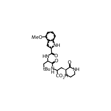 COc1cccc2[nH]c(C(=O)NC(CC(C)(C)C)C(=O)NC(C[C@@H]3CCCNC3=O)C(=O)O)cc12